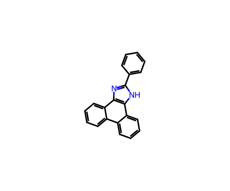 c1ccc(-c2nc3c4ccccc4c4ccccc4c3[nH]2)cc1